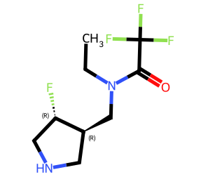 CCN(C[C@H]1CNC[C@@H]1F)C(=O)C(F)(F)F